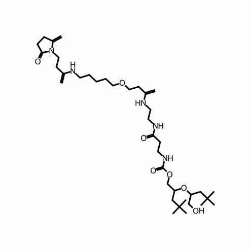 C=C(CCOCCCCCNC(=C)CCN1C(=C)CCC1=O)NCCNC(=O)CCNC(=O)OCC(CC(C)(C)C)OC(CO)CC(C)(C)C